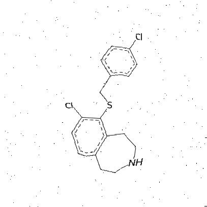 Clc1ccc(CSc2c(Cl)ccc3c2CCNCC3)cc1